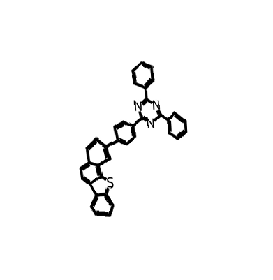 c1ccc(-c2nc(-c3ccccc3)nc(-c3ccc(-c4ccc5ccc6c7ccccc7sc6c5c4)cc3)n2)cc1